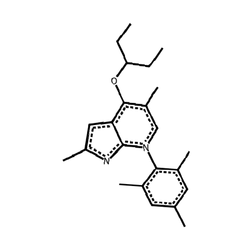 CCC(CC)Oc1c(C)cn(-c2c(C)cc(C)cc2C)c2nc(C)cc1-2